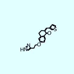 O=C1C(=Cc2ccsc2)CCc2cc(OCCc3c[nH]cn3)ccc21